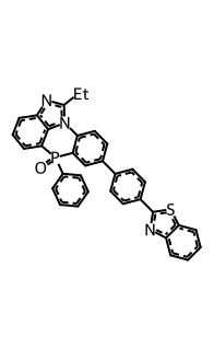 CCc1nc2cccc3c2n1-c1ccc(-c2ccc(-c4nc5ccccc5s4)cc2)cc1P3(=O)c1ccccc1